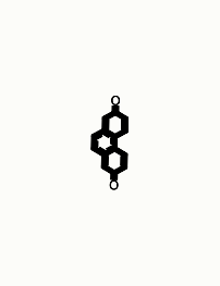 O=C1C=Cc2c3c(ccc2=C1)=CC(=O)C=C3